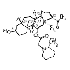 CC(=O)[C@H]1CC[C@H]2[C@@H]3CC[C@H]4C[C@H](O)CC[C@]4(C)[C@H]3[C@@H](OC(=O)CN3CCCCC3C)C[C@]12C